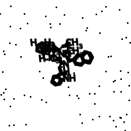 CC(C)C[C@H](NC(=O)[C@H](Cc1c[nH]c2ccccc12)NC(=O)c1ccc2ccccc2c1)B1O[C@@H]2C[C@@H]3C[C@@H](C3(C)C)[C@]2(C)O1